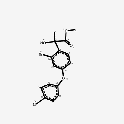 COC(=O)C(C)(O)c1ccc(Oc2ccc(Cl)cc2)cc1Br